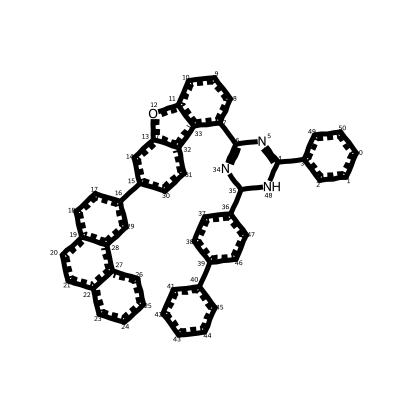 c1ccc(C2=NC(c3cccc4oc5cc(-c6ccc7ccc8ccccc8c7c6)ccc5c34)=NC(c3ccc(-c4ccccc4)cc3)N2)cc1